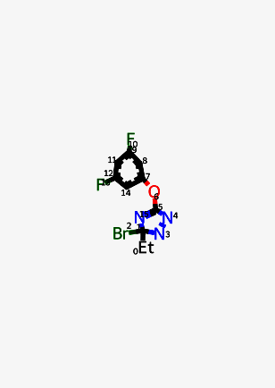 CCC1(Br)N=NC(Oc2cc(F)cc(F)c2)=N1